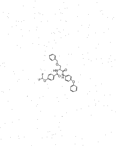 O=C(NC(COCc1ccccc1)C(=O)Nc1ccc(Oc2ccccc2)cc1)c1ccc(OC(F)F)cc1